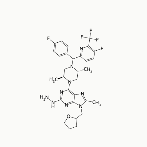 Cc1nc2c(N3C[C@@H](C)N(C(c4ccc(F)cc4)c4ccc(F)c(C(F)(F)F)n4)C[C@@H]3C)nc(NN)nc2n1CC1CCCO1